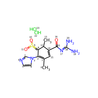 CC1=C(n2ccnc2)C(=S(=O)=O)C(C)C(C(=O)N=C(N)N)=C1.Cl.Cl